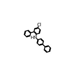 Clc1ccc(Nc2ccc(-c3ccccc3)cc2)c(-c2ccccc2)c1